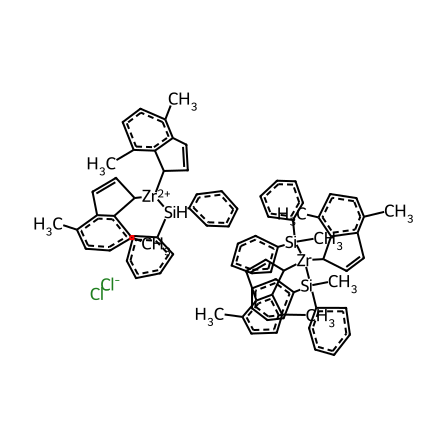 Cc1ccc(C)c2c1C=C[CH]2[Zr+2]([CH]1C=Cc2c(C)ccc(C)c21)[SiH](c1ccccc1)c1ccccc1.Cc1ccc(C)c2c1C=C[CH]2[Zr]([CH]1C=Cc2c(C)ccc(C)c21)([Si](C)(c1ccccc1)c1ccccc1)[Si](C)(c1ccccc1)c1ccccc1.[Cl-].[Cl-]